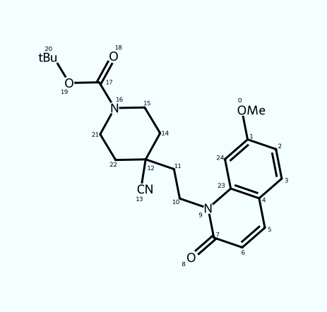 COc1ccc2ccc(=O)n(CCC3(C#N)CCN(C(=O)OC(C)(C)C)CC3)c2c1